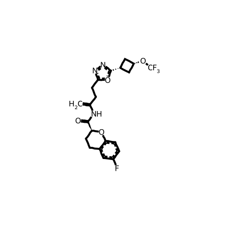 C=C(CCc1nnc([C@H]2C[C@@H](OC(F)(F)F)C2)o1)NC(=O)[C@@H]1CCc2cc(F)ccc2O1